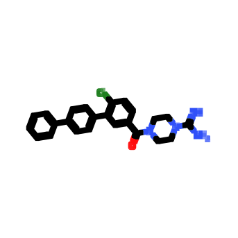 N=C(N)N1CCN(C(=O)c2ccc(Cl)c(-c3ccc(-c4ccccc4)cc3)c2)CC1